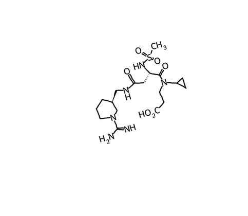 CS(=O)(=O)N[C@@H](CC(=O)NC[C@@H]1CCCN(C(=N)N)C1)C(=O)N(CCC(=O)O)C1CC1